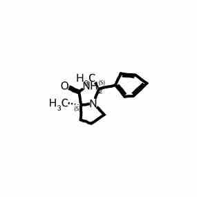 C[C@@H](c1ccccc1)N1CCC[C@@]1(C)C(N)=O